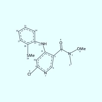 CON(C)C(=O)c1cnc(Cl)cc1Nc1ccccc1SC